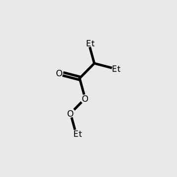 CCOOC(=O)C(CC)CC